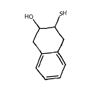 OC1Cc2ccccc2CC1S